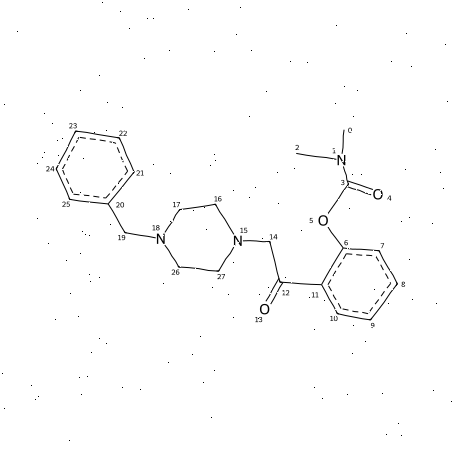 CN(C)C(=O)Oc1ccccc1C(=O)CN1CCN(Cc2ccccc2)CC1